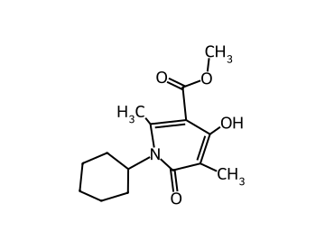 COC(=O)c1c(O)c(C)c(=O)n(C2CCCCC2)c1C